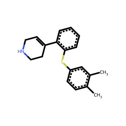 Cc1ccc(Sc2ccccc2C2=CCNCC2)cc1C